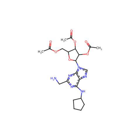 CC(=O)OCC1OC(n2cnc3c(NC4CCCC4)nc(CN)nc32)C(OC(C)=O)C1OC(C)=O